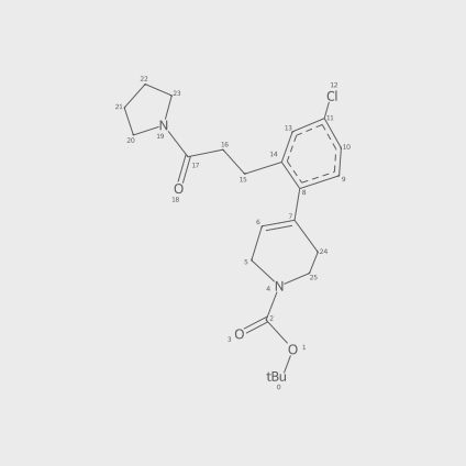 CC(C)(C)OC(=O)N1CC=C(c2ccc(Cl)cc2CCC(=O)N2CCCC2)CC1